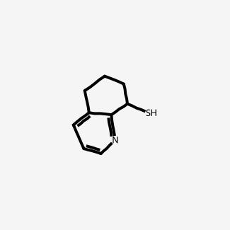 SC1CCCc2cccnc21